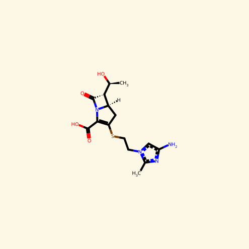 Cc1nc(N)cn1CCSC1=C(C(=O)O)N2C(=O)[C@H]([C@H](C)O)[C@H]2C1